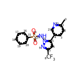 Cc1ccc(-c2cc(C(F)(F)F)nn2NS(=O)(=O)c2ccccc2)cn1